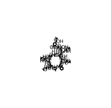 CC(C)C[C@@H]1NC(=O)[C@@H](Cc2ccccc2)NC(=O)[C@H](CCNC(=O)OC(C)(C)C)NC(=O)[C@@H](NC(=O)[C@H](CCNC(=O)OC(C)(C)C)NC(=O)[C@@H](NC(=O)Nc2cc(C(O)OC(C)C)ccc2Cl)[C@H](C)O)CCNC(=O)[C@H]([C@@H](C)O)NC(=O)[C@H](CCNC(=O)OC(C)(C)C)NC(=O)[C@H](CCNC(=O)OC(C)(C)C)NC1=O